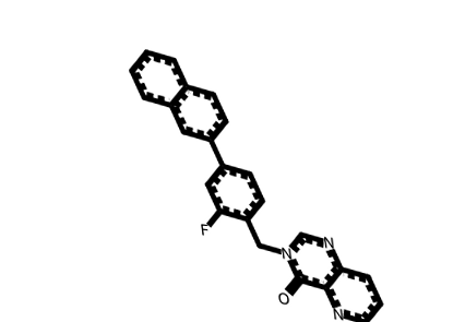 O=c1c2ncccc2ncn1Cc1ccc(-c2ccc3ccccc3c2)cc1F